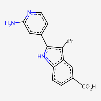 CC(C)c1c(-c2ccnc(N)c2)[nH]c2ccc(C(=O)O)cc12